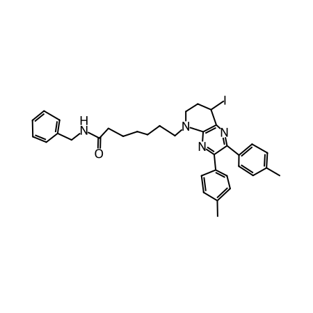 Cc1ccc(-c2nc3c(nc2-c2ccc(C)cc2)N(CCCCCCC(=O)NCc2ccccc2)CCC3I)cc1